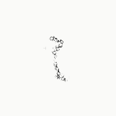 Cc1c(OCCCC2CCN(C3CCN(c4ccc5c(C6CCC(=O)NC6=O)nn(C)c5c4)CC3)CC2)cccc1-c1ccc(N2CCc3cccc(C(=O)Nc4nc5ccccc5s4)c3C2)nc1C(=O)O